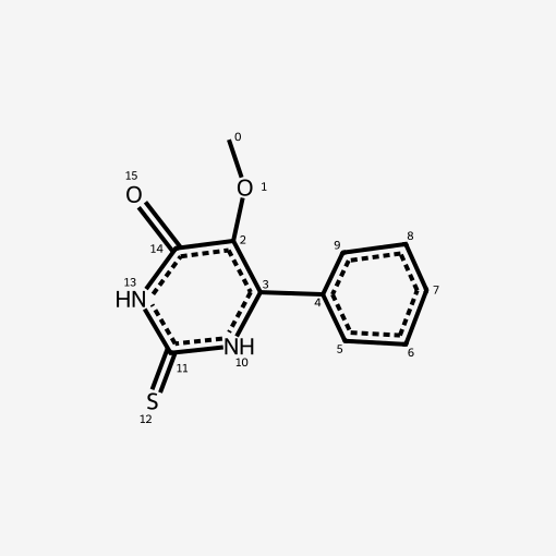 COc1c(-c2ccccc2)[nH]c(=S)[nH]c1=O